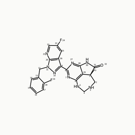 CC12CNCNc3nc(-c4nn(Cc5ccccc5F)c5ncc(F)cc45)nc(c31)NC2=O